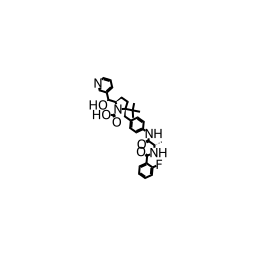 C[C@H](NC(=O)c1ccccc1F)C(=O)Nc1ccc(C[C@]2(C(C)(C)C)CC[C@H]([C@H](O)c3cccnc3)N2C(=O)O)cc1